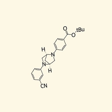 CC(C)(C)OC(=O)c1ccc(N2C[C@@H]3C[C@H]2CN3c2cccc(C#N)c2)cc1